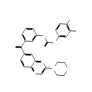 O=C(Nc1cccc(C(=O)c2ccc3ncc(N4CCNCC4)nc3c2)c1)Nc1ccc(F)c(Cl)c1